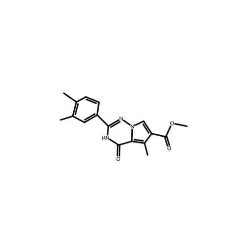 COC(=O)c1cn2nc(-c3ccc(C)c(C)c3)[nH]c(=O)c2c1C